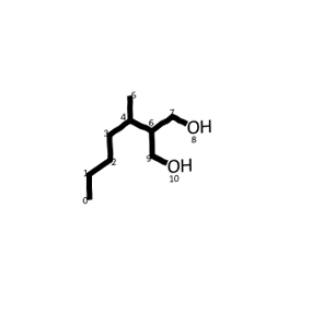 CCCCC(C)C(CO)CO